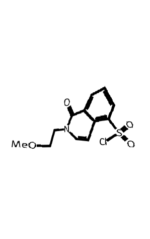 COCCn1ccc2c(S(=O)(=O)Cl)cccc2c1=O